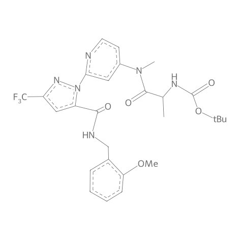 COc1ccccc1CNC(=O)c1cc(C(F)(F)F)nn1-c1cc(N(C)C(=O)C(C)NC(=O)OC(C)(C)C)ccn1